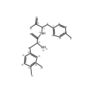 C=C(NC(Cc1ccc(C)cc1)C(=C)C)C(N)Cc1ccc(C)c(C)c1